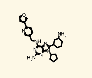 Nc1nc(NCc2ccc(-c3ccoc3)nc2)c2nc(C3CCCC(N)C3)n(C3CCCC3)c2n1